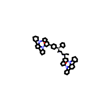 C=C/C(=C\C=C(/C)B(c1ccccc1)c1ccc(-c2cccc(-n3c4ccccc4c4ccc5c6ccccc6n(-c6ccccc6)c5c43)c2)cc1)c1cccc(-n2c3ccccc3c3ccc4c5ccccc5n(-c5ccccc5)c4c32)c1